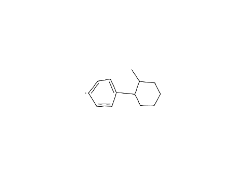 CC1CCCCC1c1cc[c]cc1